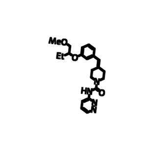 CCC(COC)Oc1cccc(C=C2CCN(C(=O)Nc3cccnn3)CC2)c1